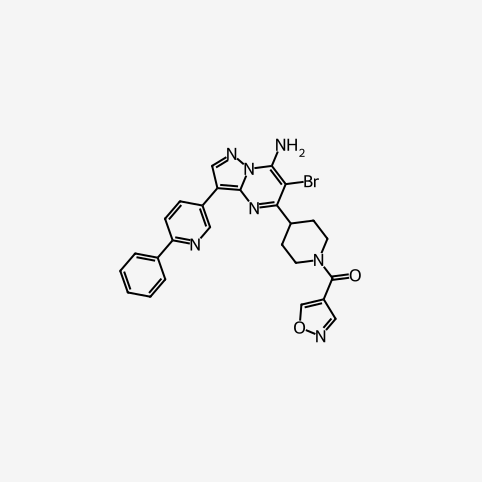 Nc1c(Br)c(C2CCN(C(=O)c3cnoc3)CC2)nc2c(-c3ccc(-c4ccccc4)nc3)cnn12